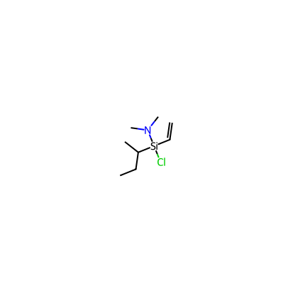 C=C[Si](Cl)(C(C)CC)N(C)C